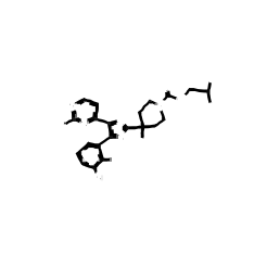 CC(C)COC(=O)N1CCC(C)(c2nc(-c3cccc(N)c3F)c(-c3ccnc(Cl)n3)s2)CC1